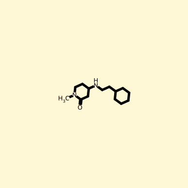 CN1CCC(NCCC2CCCCC2)CC1=O